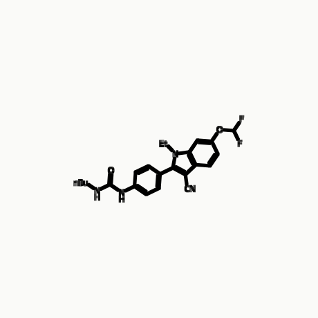 CCCCNC(=O)Nc1ccc(-c2c(C#N)c3ccc(OC(F)F)cc3n2CC)cc1